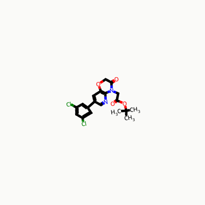 CC(C)(C)OC(=O)CN1C(=O)COc2cc(-c3cc(Cl)cc(Cl)c3)cnc21